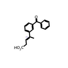 C/C(=C\CC(=O)O)c1cccc(C(=O)c2ccccc2)c1